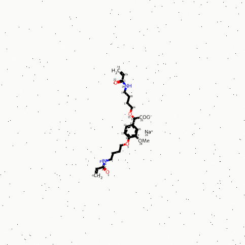 C=CC(=O)NCCCCOc1ccc(C(OCCCCNC(=O)C=C)C(=O)[O-])cc1OC.[Na+]